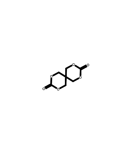 O=C1OCC2(CO1)COC(=O)OC2